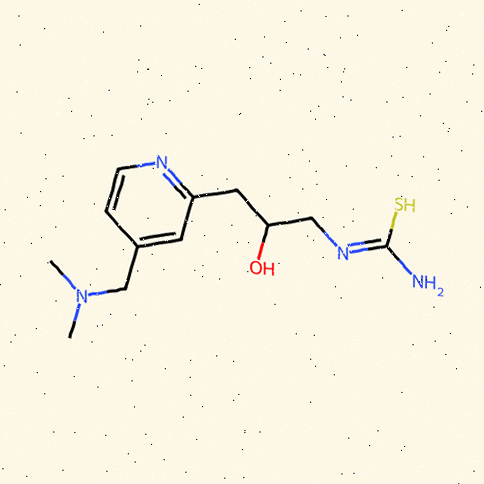 CN(C)Cc1ccnc(CC(O)CN=C(N)S)c1